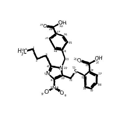 CCCCc1nc([N+](=O)[O-])c(CSc2ccccc2C(=O)O)n1Cc1ccc(C(=O)O)cc1